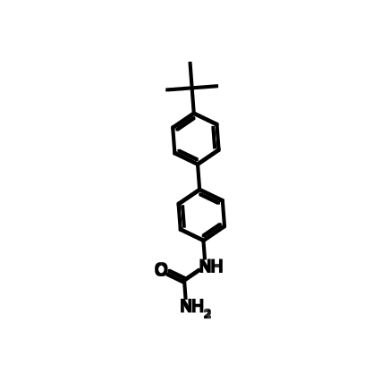 CC(C)(C)c1ccc(-c2ccc(NC(N)=O)cc2)cc1